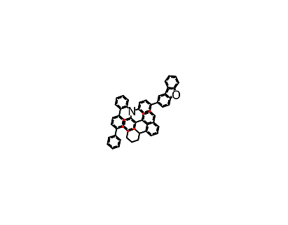 c1ccc(-c2ccc(-c3ccccc3N(c3ccc(-c4ccc5oc6ccccc6c5c4)cc3)c3ccccc3-c3cccc4cccc(C5CCCCC5)c34)cc2)cc1